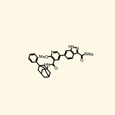 CNC(=O)c1n[nH]c2cc(-c3cnc(OC)c(C(=O)NC45CC6CC(C4)CC(c4ccccc4)(C6)C5)c3)ccc12